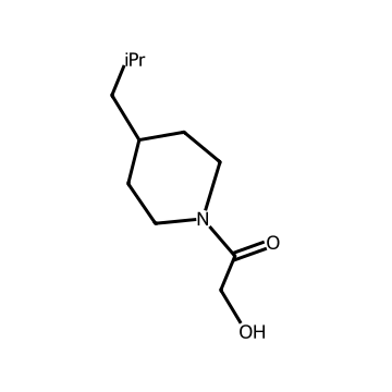 CC(C)CC1CCN(C(=O)CO)CC1